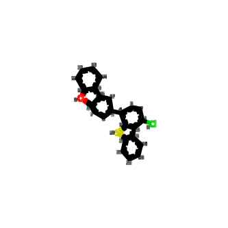 Clc1ccc(-c2ccc3oc4ccccc4c3c2)c2sc3ccccc3c12